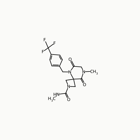 CNC(=O)N1CC2(C1)C(=O)N(C)CC(=O)N2Cc1ccc(C(F)(F)F)cc1